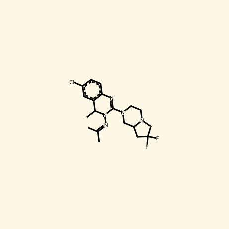 CC(C)=NN1C(N2CCN3CC(F)(F)CC3C2)=Nc2ccc(Cl)cc2C1C